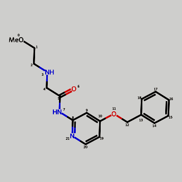 COCCNCC(=O)Nc1cc(OCc2ccccc2)ccn1